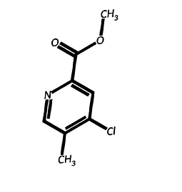 COC(=O)c1cc(Cl)c(C)cn1